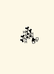 CC(C)P(Nc1nc(NC2CC2)nc(NP(C(C)C)C(C)C)n1)C(C)C.[Cl][Co][Cl]